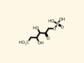 O=C(O)CC(O)C(O)C(=O)COP(=O)(O)O